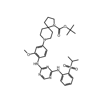 COc1cc(N2CCC3(CCCN3C(=O)OC(C)(C)C)CC2)ccc1Nc1ncnc(Nc2ccccc2S(=O)(=O)C(C)C)n1